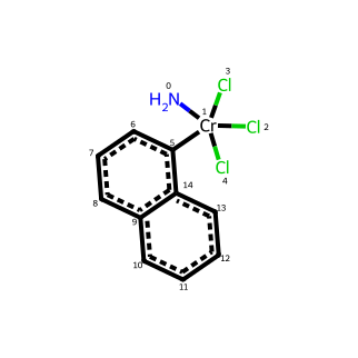 [NH2][Cr]([Cl])([Cl])([Cl])[c]1cccc2ccccc12